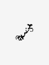 C=C(C)C(=O)OCCCC(C)(C)S(C)(C)(C)=O